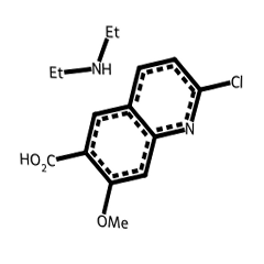 CCNCC.COc1cc2nc(Cl)ccc2cc1C(=O)O